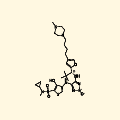 CN1CCN(CCCCc2coc([C@H](Nc3n[s+]([O-])nc3Nc3csc(S(=O)(=O)N(C)C4CC4)c3O)C(C)(C)C)c2)CC1